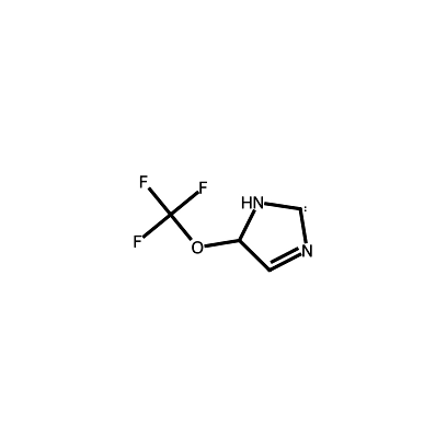 FC(F)(F)OC1C=N[C]N1